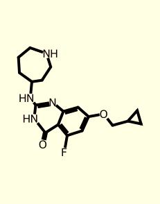 O=c1[nH]c(NC2CCCNCC2)nc2cc(OCC3CC3)cc(F)c12